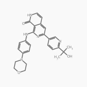 CC(C)(O)c1ccc(-c2cc3cc[nH]c(=O)c3c(Nc3ccc(N4CCOCC4)cc3)n2)cn1